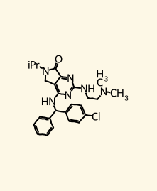 CC(C)N1Cc2c(NC(c3ccccc3)c3ccc(Cl)cc3)nc(NCCN(C)C)nc2C1=O